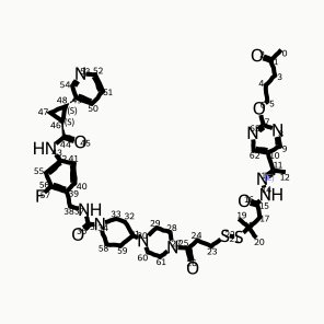 CC(=O)CCCOc1ncc(/C(C)=N/NC(=O)CC(C)(C)SSCCC(=O)N2CCN(C3CCN(C(=O)NCc4ccc(NC(=O)[C@H]5C[C@@H]5c5cccnc5)cc4F)CC3)CC2)cn1